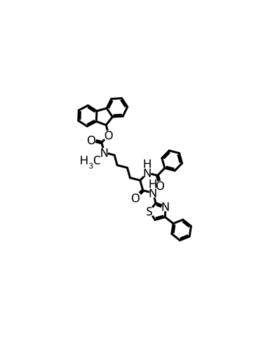 CN(CCCCC(NC(=O)c1ccccc1)C(=O)Nc1nc(-c2ccccc2)cs1)C(=O)OC1c2ccccc2-c2ccccc21